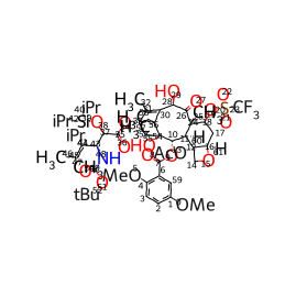 COc1ccc(OC)c(C(=O)O[C@H]2[C@@H]3[C@]4(OC(C)=O)CO[C@@H]4C[C@H](OS(=O)(=O)C(F)(F)F)[C@@]3(C)C(=O)[C@H](O)C3=C(C)[C@@H](OC(=O)[C@H](O[Si](C(C)C)(C(C)C)C(C)C)[C@H](C=C(C)C)NC(=O)OC(C)(C)C)C[C@]2(O)C3(C)C)c1